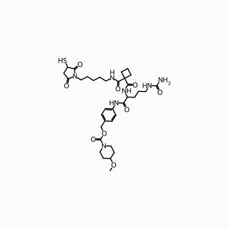 COC1CCN(C(=O)OCc2ccc(NC(=O)C(CCCNC(N)=O)NC(=O)C3(C(=O)NCCCCCN4C(=O)CC(S)C4=O)CCC3)cc2)CC1